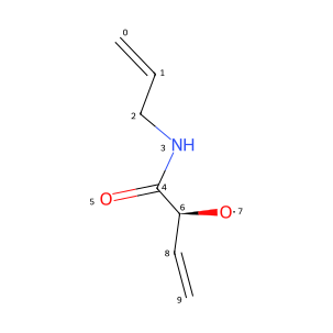 C=CCNC(=O)[C@@H]([O])C=C